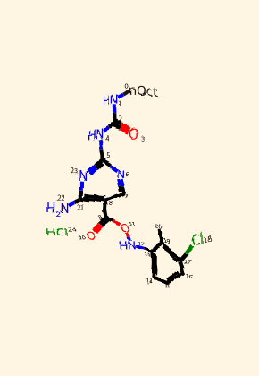 CCCCCCCCNC(=O)Nc1ncc(C(=O)ONc2cccc(Cl)c2C)c(N)n1.Cl